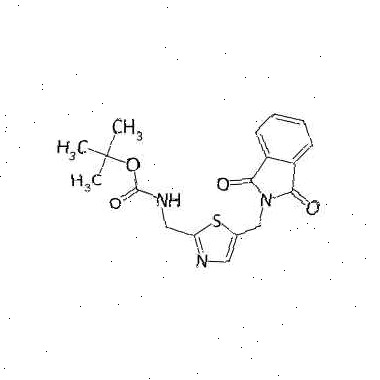 CC(C)(C)OC(=O)NCc1ncc(CN2C(=O)c3ccccc3C2=O)s1